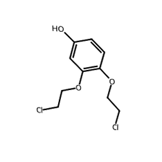 Oc1ccc(OCCCl)c(OCCCl)c1